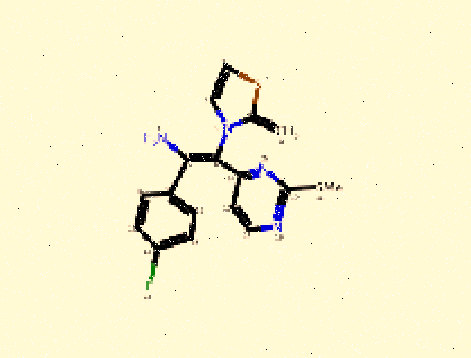 C=C1SC=CN1/C(=C(\N)c1ccc(F)cc1)c1ccnc(SC)n1